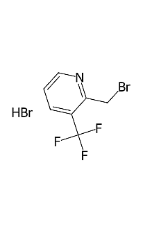 Br.FC(F)(F)c1cccnc1CBr